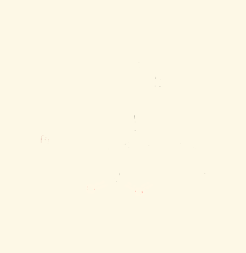 O=c1oc2ccccc2c(-c2ccccc2)c1CCBr